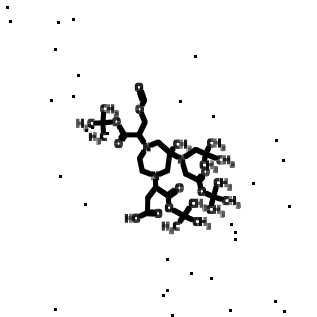 CC(C)(C)CN(CC(=O)OC(C)(C)C)C1(C)CN(C(COC=O)C(=O)OC(C)(C)C)CCN(C(CC(=O)O)C(=O)OC(C)(C)C)C1